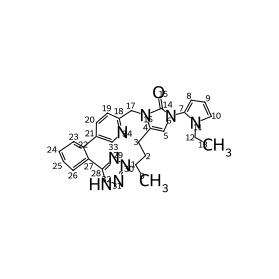 CCCCc1cn(-c2cccn2CC)c(=O)n1Cc1ccc(-c2ccccc2-c2nnn[nH]2)cn1